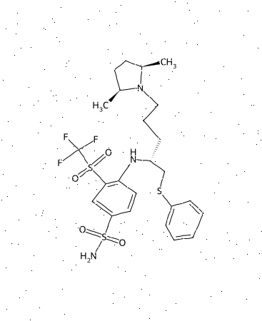 C[C@@H]1CC[C@H](C)N1CCC[C@H](CSc1ccccc1)Nc1ccc(S(N)(=O)=O)cc1S(=O)(=O)C(F)(F)F